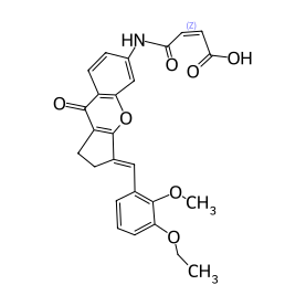 CCOc1cccc(C=C2CCc3c2oc2cc(NC(=O)/C=C\C(=O)O)ccc2c3=O)c1OC